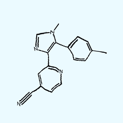 Cc1ccc(-c2c(-c3cc(C#N)ccn3)ncn2C)cc1